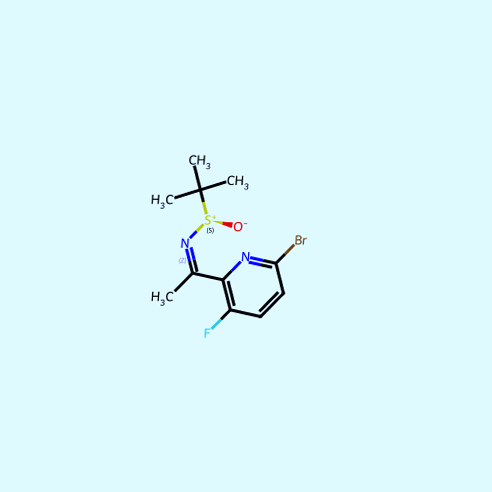 C/C(=N/[S@+]([O-])C(C)(C)C)c1nc(Br)ccc1F